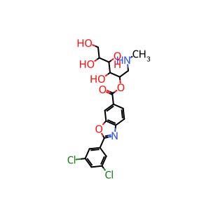 CNCC(OC(=O)c1ccc2nc(-c3cc(Cl)cc(Cl)c3)oc2c1)C(O)C(O)C(O)CO